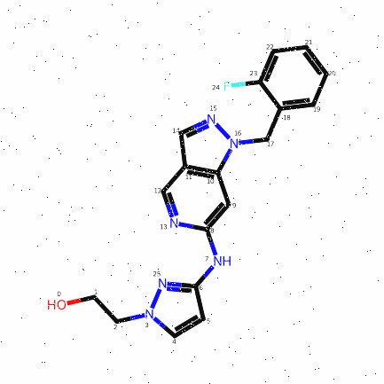 OCCn1ccc(Nc2cc3c(cn2)cnn3Cc2ccccc2F)n1